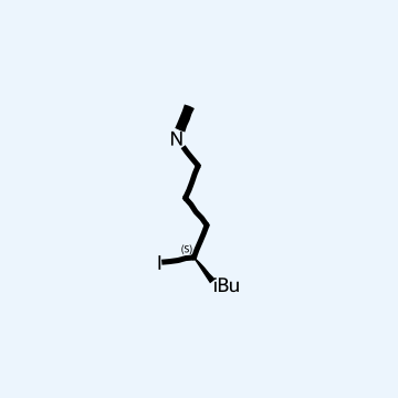 C=NCCC[C@H](I)C(C)CC